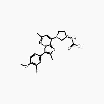 COc1ccc(-c2c(C)nc3c(N4CC[C@@H](NC(=O)O)C4)cc(C)nn23)cc1F